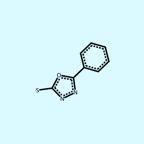 [S]c1nnc(-c2ccccc2)o1